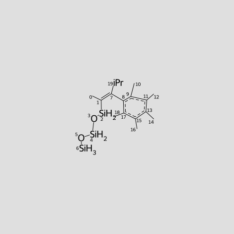 CC([SiH2]O[SiH2]O[SiH3])=C(c1c(C)c(C)c(C)c(C)c1C)C(C)C